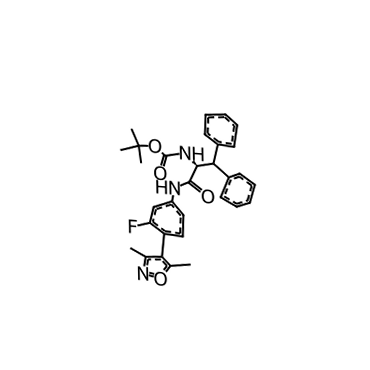 Cc1noc(C)c1-c1ccc(NC(=O)[C@@H](NC(=O)OC(C)(C)C)C(c2ccccc2)c2ccccc2)cc1F